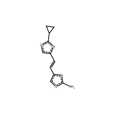 Nc1nc(/C=C/c2coc(C3CC3)n2)cs1